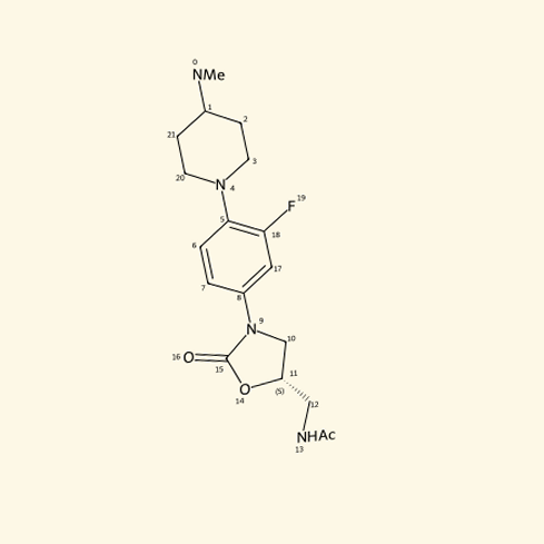 CNC1CCN(c2ccc(N3C[C@H](CNC(C)=O)OC3=O)cc2F)CC1